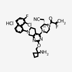 C=C(F)C(=O)N1CCN(c2nc(OCC3(N)CCC3)nc3c2CCN(c2cccc4ccc(F)c(Cl)c24)C3)C[C@@H]1CC#N.Cl